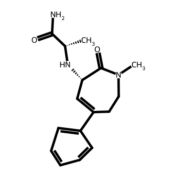 C[C@H](N[C@H]1C=C(c2ccccc2)CCN(C)C1=O)C(N)=O